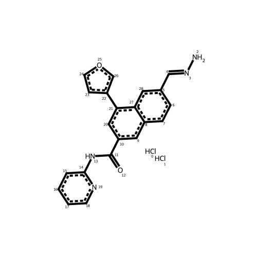 Cl.Cl.NN=Cc1ccc2cc(C(=O)Nc3ccccn3)cc(-c3ccoc3)c2c1